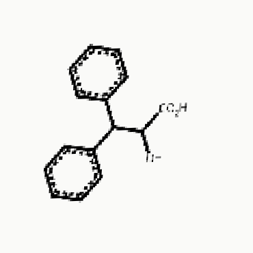 O=C(O)C(O)C(c1ccccc1)c1ccccc1